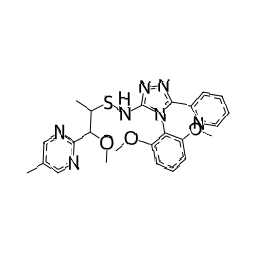 COc1cccc(OC)c1-n1c(NSC(C)C(OC)c2ncc(C)cn2)nnc1-c1ccccn1